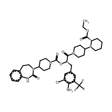 CCOC(=O)[C@H]1CCCCN1C1CCN(C(=O)[C@@H](Cc2cc(Cl)c(N)c(C(F)(F)F)c2)OC(=O)N2CCC(N3CCc4ccccc4NC3=O)CC2)CC1